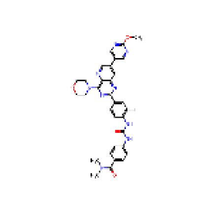 COc1ncc(-c2cnc3c(N4CCOCC4)nc(-c4ccc(NC(=O)Nc5ccc(C(=O)N(C)C)cc5)c(F)c4)nc3c2)cn1